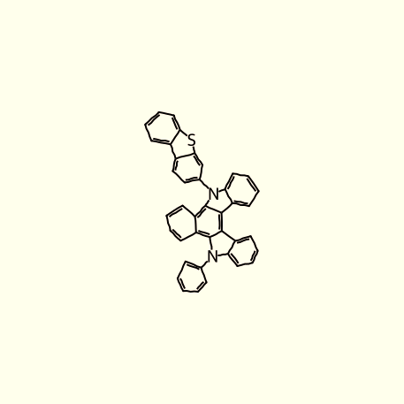 c1ccc(-n2c3ccccc3c3c4c5ccccc5n(-c5ccc6c(c5)sc5ccccc56)c4c4ccccc4c32)cc1